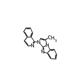 Cc1cn(-c2nccc3ccccc23)c2nc3ccccc3n12